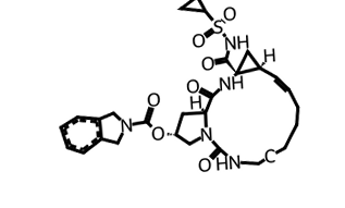 O=C1N[C@]2(C(=O)NS(=O)(=O)C3CC3)C[C@H]2/C=C\CCCCCNC(=O)N2C[C@H](OC(=O)N3Cc4ccccc4C3)C[C@@H]12